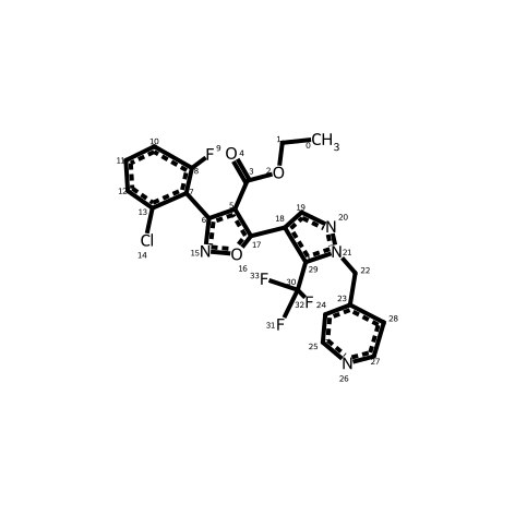 CCOC(=O)c1c(-c2c(F)cccc2Cl)noc1-c1cnn(Cc2ccncc2)c1C(F)(F)F